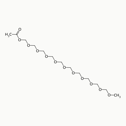 COCOCOCOCOCOCOCOCOCOCOC(C)=O